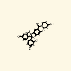 O=C(c1cc2c(cc1F)OC(c1ccc(Cl)cc1Cl)(c1ccc(Cl)cc1Cl)O2)N1CCC(O)CC1